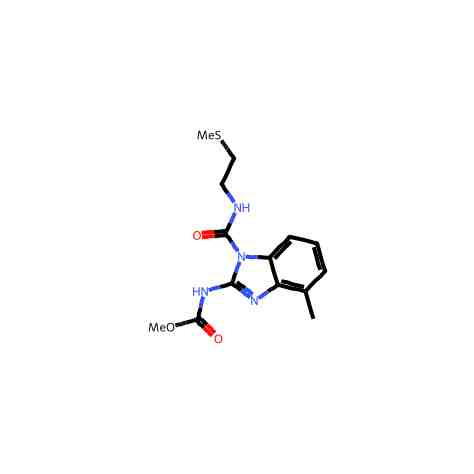 COC(=O)Nc1nc2c(C)cccc2n1C(=O)NCCSC